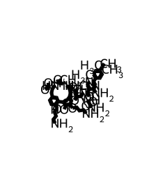 Cc1cc(C(C)(C)C)ccc1-c1nc(C)c(C(=O)N[C@@H](CNS(N)(=O)=O)C(=O)N(C)[C@@H]2C(=O)N[C@@H](C)C(=O)N[C@H](C(=O)O)Cc3ccc(OCCCN)c(c3)-c3cc2cc(OCCCN)c3O)c(N)n1